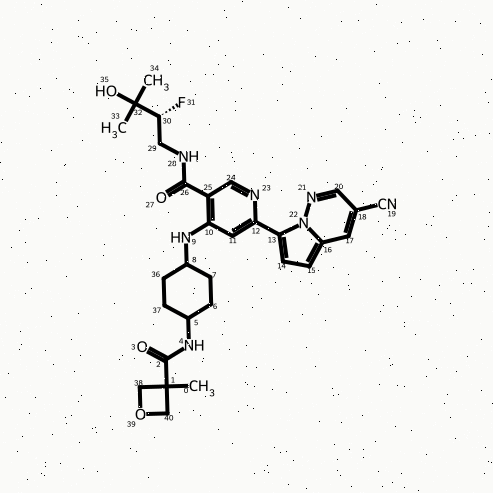 CC1(C(=O)NC2CCC(Nc3cc(-c4ccc5cc(C#N)cnn45)ncc3C(=O)NC[C@@H](F)C(C)(C)O)CC2)COC1